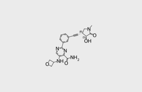 CN1C[C@@H](C#Cc2cccc(-c3ncc(NC4COC4)c(C(N)=O)n3)c2)[C@H](O)C1=O